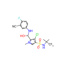 Cn1cc(S(=O)(=O)NC(C)(C)C(F)(F)F)c(Cl)c1C(O)Nc1ccc(F)c(C#N)c1